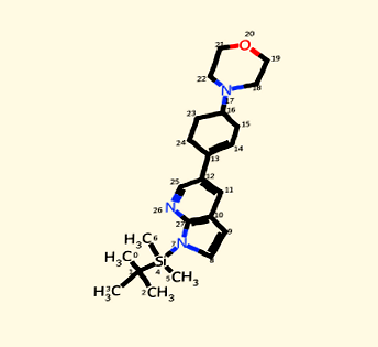 CC(C)(C)[Si](C)(C)n1ccc2cc(C3=CCC(N4CCOCC4)CC3)cnc21